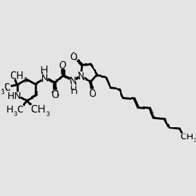 CCCCCCCCCCCCC1CC(=O)N(NC(=O)C(=O)NC2CC(C)(C)NC(C)(C)C2)C1=O